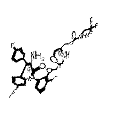 N[C@H](C(=O)Nc1cccc(F)c1OC[C@@H]1CN[C@H](COC(=O)NCC(F)(F)F)CO1)C(c1ccc(F)cc1)c1ccc(F)cc1